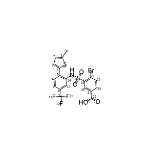 Cc1ccc(-c2ccc(C(F)(F)F)cc2NS(=O)(=O)c2cc(C(=O)O)ccc2Br)s1